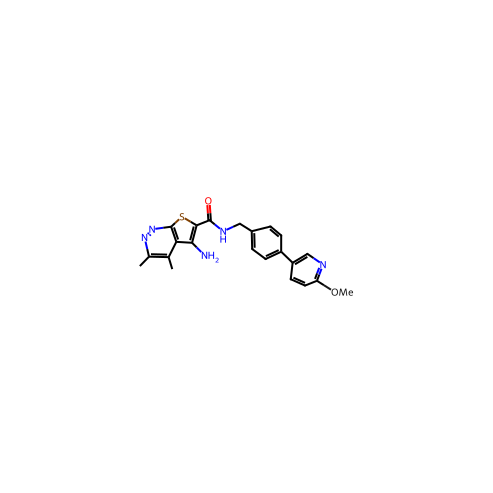 COc1ccc(-c2ccc(CNC(=O)c3sc4nnc(C)c(C)c4c3N)cc2)cn1